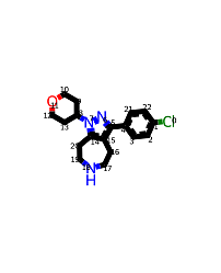 Clc1ccc(-c2nn(C3CCOCC3)c3c2CCNCC3)cc1